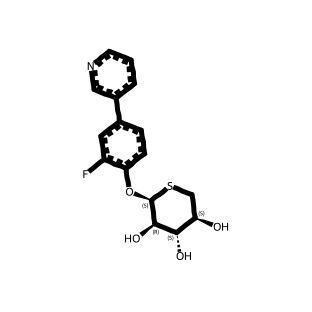 O[C@@H]1[C@@H](O)[C@@H](Oc2ccc(-c3cccnc3)cc2F)SC[C@H]1O